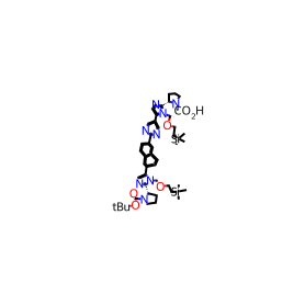 CC(C)(C)OC(=O)N1CCC[C@H]1c1ncc(-c2ccc3cc(-c4ncc(-c5cnc([C@@H]6CCCN6C(=O)O)n5COCC[Si](C)(C)C)cn4)ccc3c2)n1COCC[Si](C)(C)C